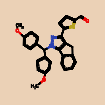 COc1ccc(C(c2ccc(OC)cc2)n2nc(-c3ccc(C=O)s3)c3c2-c2ccccc2C3)cc1